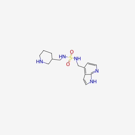 O=S(=O)(NCc1ccnc2[nH]ccc12)NCC1CCCNC1